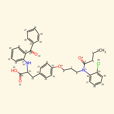 CCCC(=O)N(CCCOc1ccc(CC(Nc2ccccc2C(=O)c2ccccc2)C(=O)O)cc1)c1ccccc1Cl